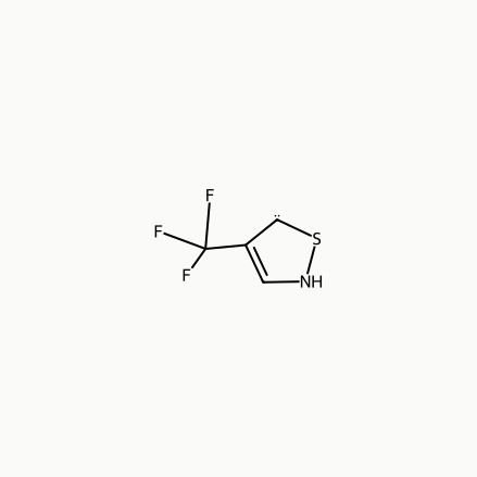 FC(F)(F)C1=CNS[C]1